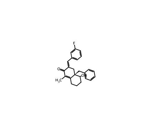 CC1=C2CCC[C@H](O)[C@@]2(Cc2ccccc2)C/C(=C\c2cccc(F)c2)C1=O